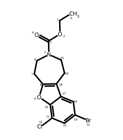 CCOC(=O)N1CCc2oc3c(Cl)cc(Br)cc3c2CC1